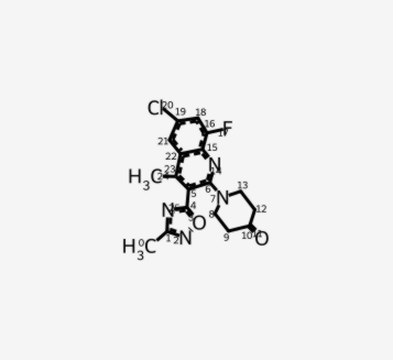 Cc1noc(-c2c(N3CCC(=O)CC3)nc3c(F)cc(Cl)cc3c2C)n1